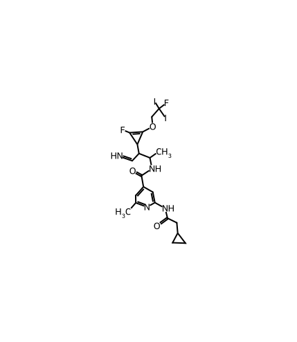 Cc1cc(C(=O)NC(C)C(C=N)C2C(F)=C2OCC(F)(I)I)cc(NC(=O)CC2CC2)n1